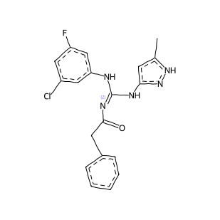 Cc1cc(N/C(=N\C(=O)Cc2ccccc2)Nc2cc(F)cc(Cl)c2)n[nH]1